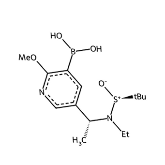 CCN([C@H](C)c1cnc(OC)c(B(O)O)c1)[S@@+]([O-])C(C)(C)C